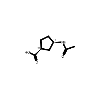 CC(=O)N[C@@H]1CC[C@H](C(=O)O)C1